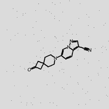 N#Cc1cnn2cc(N3CCC4(CC3)CC(=O)C4)ccc12